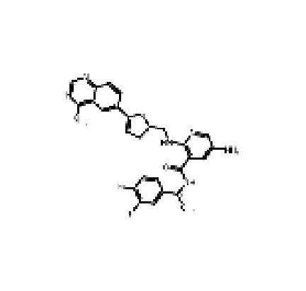 C[C@H](NC(=O)c1cc(N)cnc1NCC1CC=C(c2ccc3ncnc(N)c3c2)S1)c1ccc(F)c(F)c1